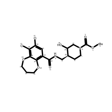 CC(C)(C)OC(=O)N1CC[C@@H](CNC(=O)c2cc(Cl)c(Cl)c3c2OCCCO3)C(O)C1